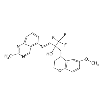 COc1ccc2c(c1)C(CC(O)(C=Nc1cccc3nc(C)ncc13)C(F)(F)F)CCO2